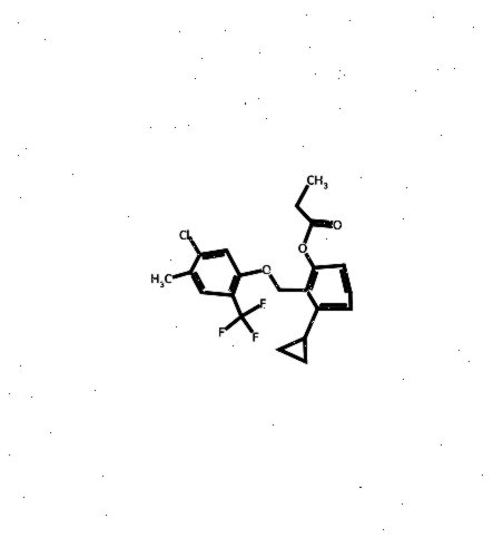 CCC(=O)Oc1cccc(C2CC2)c1COc1cc(Cl)c(C)cc1C(F)(F)F